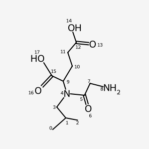 CC(C)CN(C(=O)CN)C(CCC(=O)O)C(=O)O